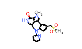 Cn1cc2c3c(c[nH]c(=O)c31)CN(c1ccccn1)c1ccc(CS(C)(=O)=O)cc1-2